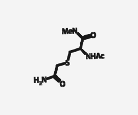 CNC(=O)[C@H](CSCC(N)=O)NC(C)=O